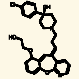 OCCOC1C=CC=C2Oc3ncccc3C(=CCCN3CCC(O)(c4ccc(Cl)cc4)CC3)C=C21